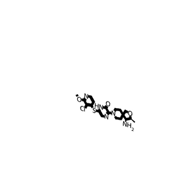 COc1nccc(Sc2cnc(N3CCC4(CC3)CO[C@@H](C)[C@H]4N)c(=O)[nH]2)c1Cl